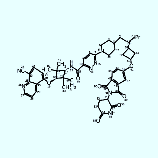 CC(C)N(CC1CCN(c2ccc(C(=O)N[C@H]3C(C)(C)[C@H](Oc4ccc(C#N)c5ncccc45)C3(C)C)nn2)CC1)C1CC(Oc2ccc3c(c2)C(=O)N(C2CCC(=O)NC2=O)C3=O)C1